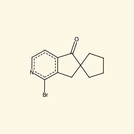 O=C1c2ccnc(Br)c2CC12CCCC2